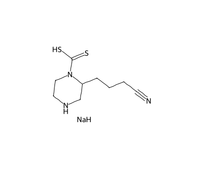 N#CCCCC1CNCCN1C(=S)S.[NaH]